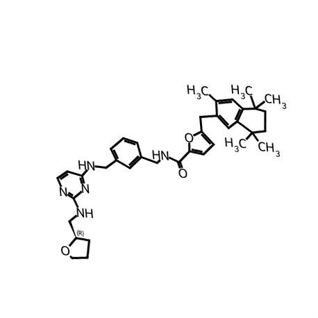 Cc1cc2c(cc1Cc1ccc(C(=O)NCc3cccc(CNc4ccnc(NC[C@H]5CCCO5)n4)c3)o1)C(C)(C)CCC2(C)C